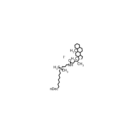 CCCCCCCCCCCCCCCCCC[N+](C)(C)CCCNC(=O)CC[C@@H](C)[C@H]1CCC2C3CCC4CCCC[C@]4(C)C3CC[C@@]21C.[I-]